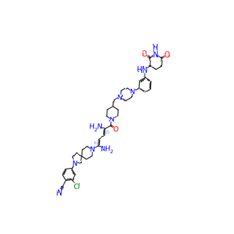 N#Cc1ccc(N2CCC3(CCN(/C(N)=C/C=C(\N)C(=O)N4CCC(CN5CCN(c6cccc(NC7CCC(=O)NC7=O)c6)CC5)CC4)CC3)C2)cc1Cl